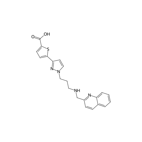 O=C(O)c1ccc(-c2ccn(CCCNCc3ccc4ccccc4n3)n2)s1